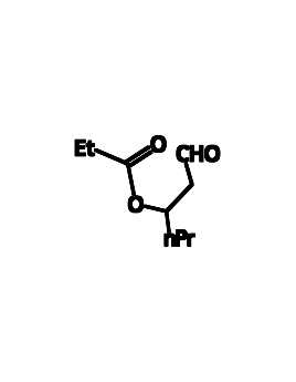 CCCC(CC=O)OC(=O)CC